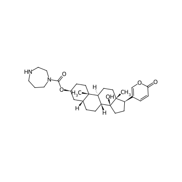 C[C@]12CC[C@H](OC(=O)N3CCCNCC3)C[C@H]1CC[C@@H]1[C@@H]2CC[C@]2(C)[C@@H](c3ccc(=O)oc3)CC[C@]12O